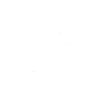 OC1CC(S)SC1CSc1ncccn1